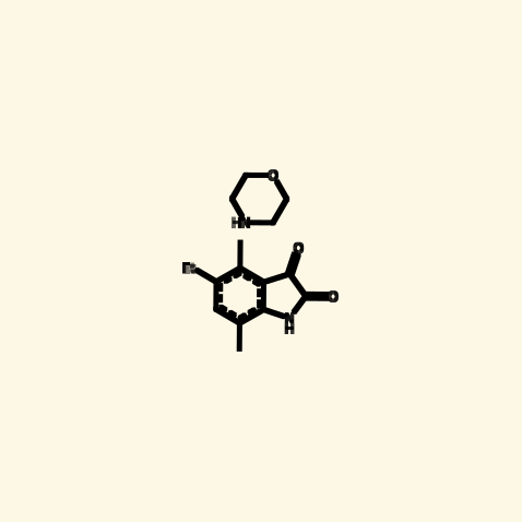 C1COCCN1.CCc1cc(C)c2c(c1C)C(=O)C(=O)N2